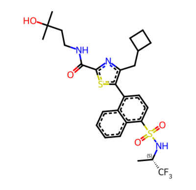 C[C@H](NS(=O)(=O)c1ccc(-c2sc(C(=O)NCCC(C)(C)O)nc2CC2CCC2)c2ccccc12)C(F)(F)F